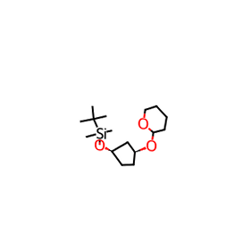 CC(C)(C)[Si](C)(C)O[C@@H]1CC[C@H](OC2CCCCO2)C1